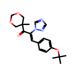 CC(C)(C)Oc1ccc(C=C(C(=O)C2(C)COCOC2)n2cncn2)cc1